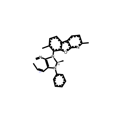 C=NC1=C(/C=C\C)N(c2ccccc2)[C@H](C)N1c1c(C)ccc2c1oc1nc(C)ccc12